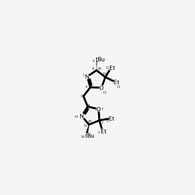 CCC1(CC)OC(CC2=N[C@H](C(C)(C)C)C(CC)(CC)O2)=N[C@@H]1C(C)(C)C